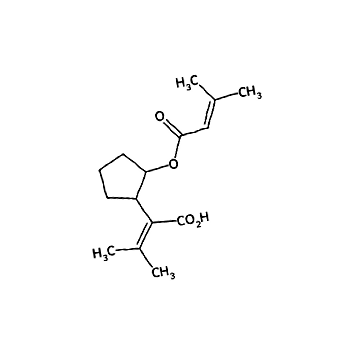 CC(C)=CC(=O)OC1CCCC1C(C(=O)O)=C(C)C